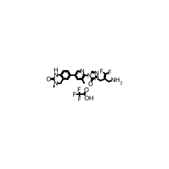 Cc1cc(-c2ccc3c(c2)CN(C)C(=O)N3)cnc1-n1cnn(CC(CN)=C(F)F)c1=O.O=C(O)C(F)(F)F